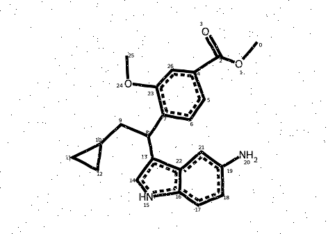 COC(=O)c1ccc(C(CC2CC2)c2c[nH]c3ccc(N)cc23)c(OC)c1